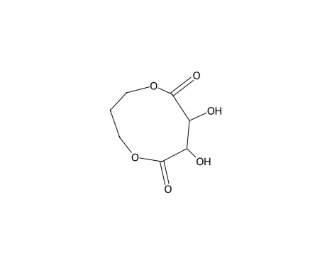 O=C1OCCCOC(=O)C(O)C1O